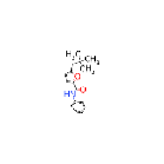 CC(C)(C)Cc1ccc(C(=O)Nc2ccccc2)o1